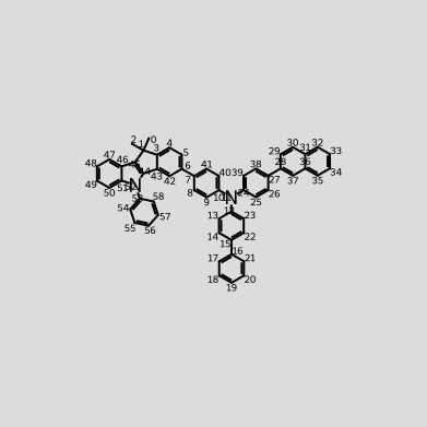 CC1(C)c2ccc(-c3ccc(N(c4ccc(-c5ccccc5)cc4)c4ccc(-c5ccc6ccccc6c5)cc4)cc3)cc2-c2c1c1ccccc1n2-c1ccccc1